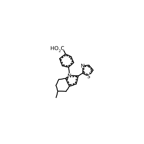 CC1CCc2c(cc(-c3nccs3)n2-c2ccc(C(=O)O)cc2)C1